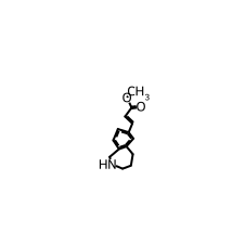 COC(=O)/C=C/c1ccc2c(c1)CCCNC2